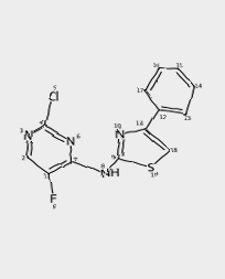 Fc1cnc(Cl)nc1Nc1nc(-c2ccccc2)cs1